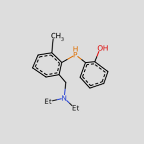 CCN(CC)Cc1cccc(C)c1Pc1ccccc1O